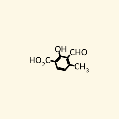 Cc1ccc(C(=O)O)c(O)c1C=O